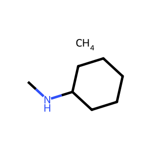 C.CNC1CCCCC1